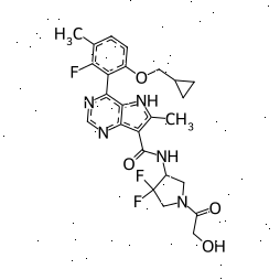 Cc1ccc(OCC2CC2)c(-c2ncnc3c(C(=O)NC4CN(C(=O)CO)CC4(F)F)c(C)[nH]c23)c1F